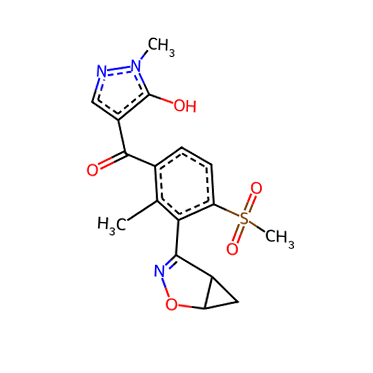 Cc1c(C(=O)c2cnn(C)c2O)ccc(S(C)(=O)=O)c1C1=NOC2CC12